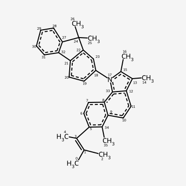 CC(C)=C(C)c1ccc2c(ccc3c(C)c(C)n(-c4ccc5c(c4)C(C)(C)c4ccccc4-5)c32)c1C